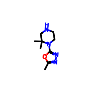 Cc1nnc(N2CCNCC2(C)C)o1